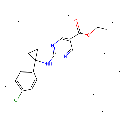 CCOC(=O)c1cnc(NC2(c3ccc(Cl)cc3)CC2)nc1